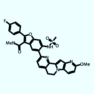 CNC(=O)c1c(-c2ccc(F)cc2)oc2cc(NS(C)(=O)=O)c(-c3ccc4c(n3)-c3cc5nc(OC)ccc5n3CC4)cc12